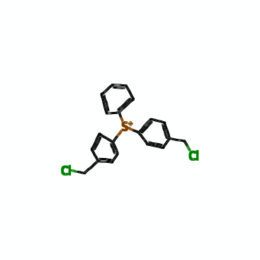 ClCc1ccc([S+](c2ccccc2)c2ccc(CCl)cc2)cc1